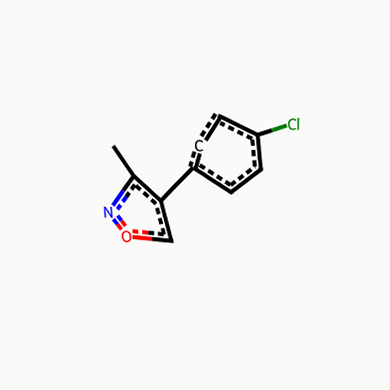 Cc1nocc1-c1ccc(Cl)cc1